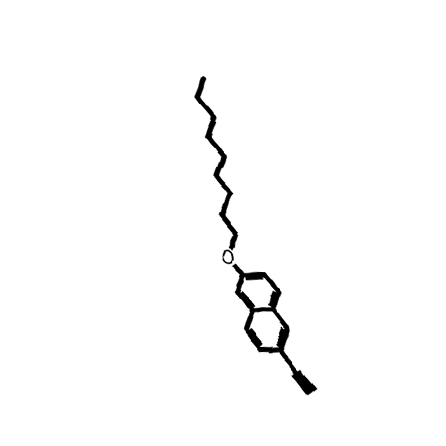 C#Cc1ccc2cc(OCCCCCCCCC)ccc2c1